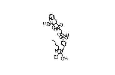 CCCCc1nc(Cl)c(CO)n1Cc1ccc(S(=O)(=O)NC(=O)CNC(=O)C(Cc2ccccc2)C(=O)NO)cc1